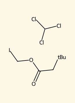 CC(C)(C)CC(=O)OCI.ClC(Cl)Cl